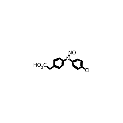 O=NN(c1ccc(Cl)cc1)c1ccc(CC(=O)O)cc1